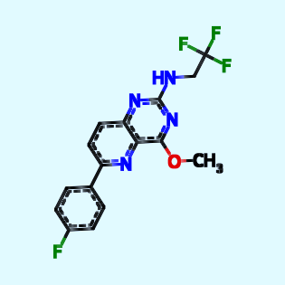 COc1nc(NCC(F)(F)F)nc2ccc(-c3ccc(F)cc3)nc12